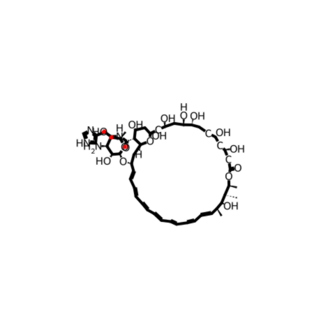 C[C@@H]1[C@H](O)[C@@H](C)/C=C/C=C/C=C/C=C/C=C/C=C/C=C/[C@H](O[C@@H]2O[C@H](C)[C@@H](O)[C@H](N)[C@@H]2O)C[C@@H]2O[C@](O)(C[C@@H](O)C[C@@H](O)[C@H](O)CC[C@@H](O)C[C@@H](O)CC(=O)O[C@H]1C)C[C@H](O)[C@H]2C(=O)NCCc1c[nH]cn1